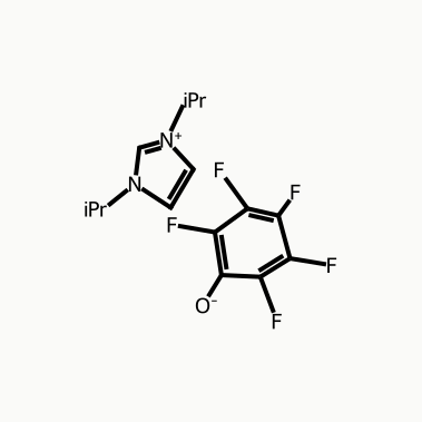 CC(C)n1cc[n+](C(C)C)c1.[O-]c1c(F)c(F)c(F)c(F)c1F